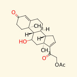 CC(=O)OCC(=O)C1=CC[C@H]2[C@@H]3CCC4=CC(=O)CC[C@]4(C)[C@H]3C(O)C[C@]12C